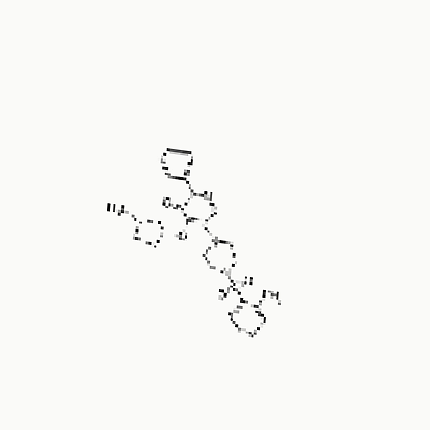 Cc1cccnc1S(=O)(=O)N1CCN(c2cnn(-c3ccccc3)c(=O)c2OC2CCC(C)C2)CC1